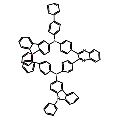 c1ccc(-c2ccc(N(c3ccc(-c4nc5ccccc5nc4-c4ccc(N(c5ccc(-c6ccccc6)cc5)c5ccc6c(c5)c5ccccc5n6-c5ccccc5)cc4)cc3)c3ccc4c(c3)-c3ccccc3C4c3ccccc3)cc2)cc1